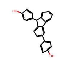 Oc1ccc(-c2ccc3c(c2)-c2ccccc2C3c2ccc(O)cc2)cc1